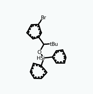 CC(C)(C)C(O[SiH](c1ccccc1)c1ccccc1)c1cccc(Br)c1